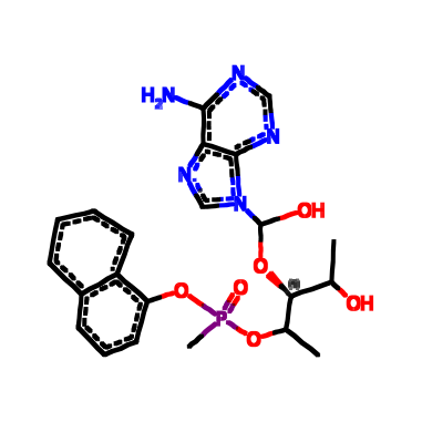 CC(O)[C@H](OC(O)n1cnc2c(N)ncnc21)C(C)OP(C)(=O)Oc1cccc2ccccc12